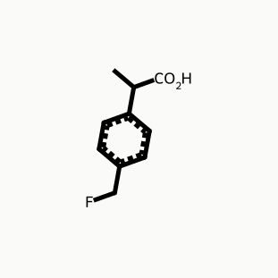 CC(C(=O)O)c1ccc(CF)cc1